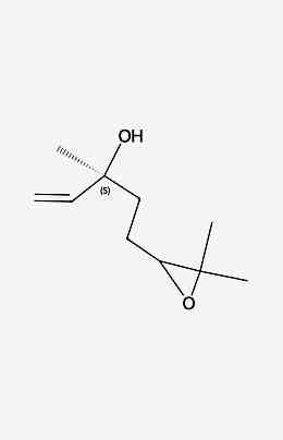 C=C[C@@](C)(O)CCC1OC1(C)C